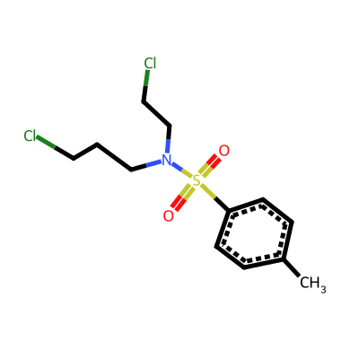 Cc1ccc(S(=O)(=O)N(CCCl)CCCCl)cc1